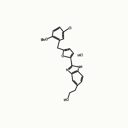 CC(C)COc1ccc(Cl)cc1Cc1ccc(-c2nc3cc(CCO)ccc3[nH]2)o1.Cl